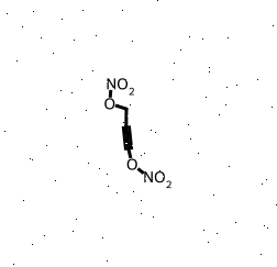 O=[N+]([O-])OC#CCO[N+](=O)[O-]